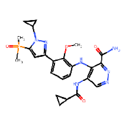 COc1c(Nc2c(NC(=O)C3CC3)cnnc2C(N)=O)cccc1-c1cc(P(C)(C)=O)n(C2CC2)n1